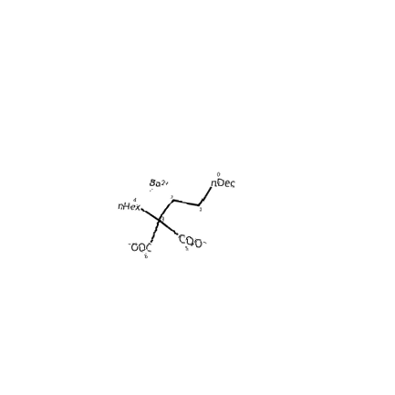 CCCCCCCCCCCCC(CCCCCC)(C(=O)[O-])C(=O)[O-].[Ba+2]